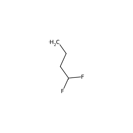 [CH2]CC[C](F)F